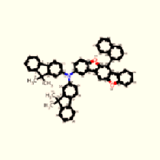 CC1(C)c2ccccc2-c2ccc(N(c3ccc4c(c3)C(C)(C)c3ccccc3-4)c3ccc4oc5c(-c6cccc7ccccc67)c6c(cc5c4c3)oc3ccccc36)cc21